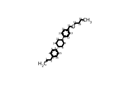 C=CCc1ccc([C@H]2CC[C@H](c3ccc(COCCCC)cc3)CC2)cc1